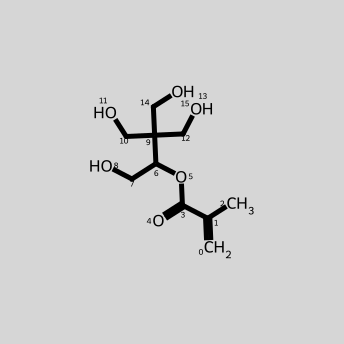 C=C(C)C(=O)OC(CO)C(CO)(CO)CO